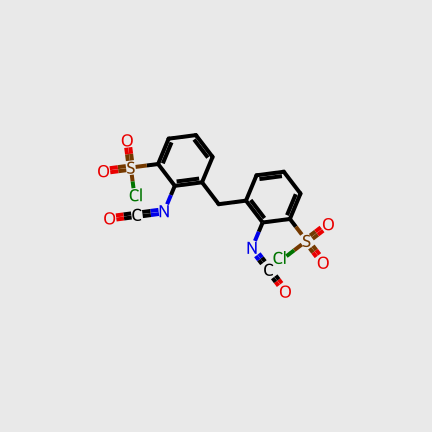 O=C=Nc1c(Cc2cccc(S(=O)(=O)Cl)c2N=C=O)cccc1S(=O)(=O)Cl